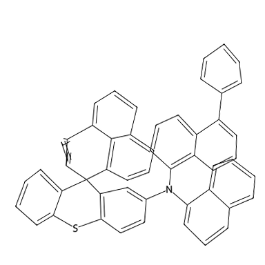 c1ccc(-c2cccc3c(N(c4ccc5c(c4)C4(c6ccccc6S5)c5ccccc5-c5cccc6cccc4c56)c4cccc5ccccc45)cccc23)cc1